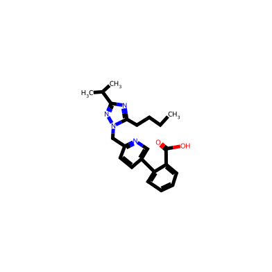 CCCCc1nc(C(C)C)nn1Cc1ccc(-c2ccccc2C(=O)O)cn1